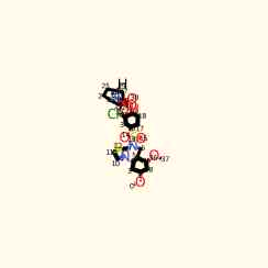 COc1ccc(CN(c2nccs2)S(=O)(=O)c2ccc(O[C@@H]3CC4CC[C@@H](C3)N4C(=O)O)c(Cl)c2)c(OC)c1